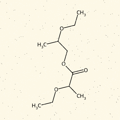 CCOC(C)COC(=O)C(C)OCC